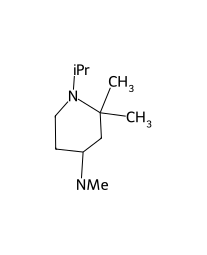 CNC1CCN(C(C)C)C(C)(C)C1